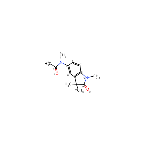 CC(=O)N(C)c1ccc2c(c1)C(C)(C)C(=O)N2C